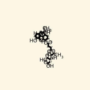 CC[C@]12c3c4ccc(O)c3O[C@H]1C(OC(=O)CCC(=O)O[C@@H](C)C(=O)N[C@H](CC(=O)O)C(=O)O)=CC[C@@]2(O)[C@H](NC)C4